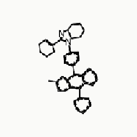 Cc1ccc2c(-c3ccccc3)c3ccccc3c(-c3ccc(N4C(C5=CCCCC5)=NC5C=CCCC54)cc3)c2c1